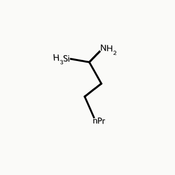 CCCCCC(N)[SiH3]